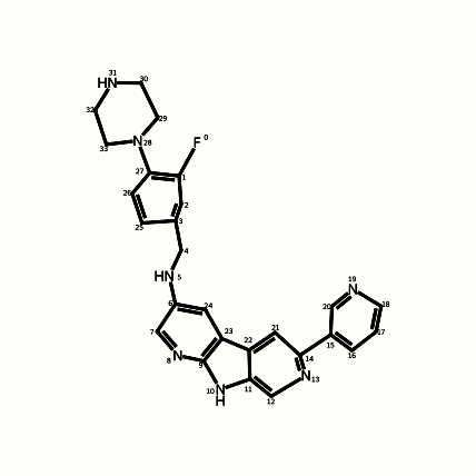 Fc1cc(CNc2cnc3[nH]c4cnc(-c5cccnc5)cc4c3c2)ccc1N1CCNCC1